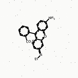 CC/N=c1\ccc2c(-c3ccccc3C(=O)O)c3ccc(N)cc3oc-2c1